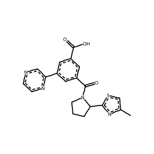 Cc1csc(C2CCCN2C(=O)c2cc(C(=O)O)cc(-c3cnccn3)c2)n1